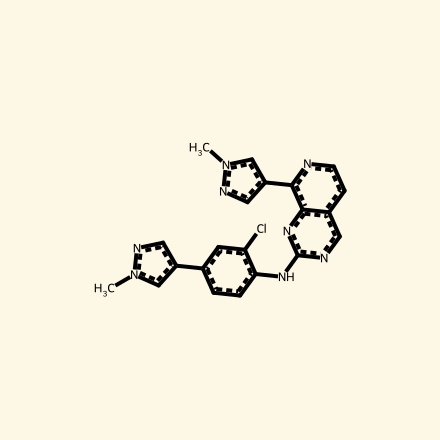 Cn1cc(-c2ccc(Nc3ncc4ccnc(-c5cnn(C)c5)c4n3)c(Cl)c2)cn1